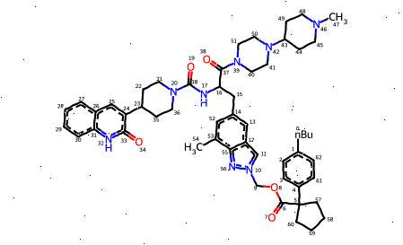 CCCCc1ccc(C2(C(=O)OCn3cc4cc(CC(NC(=O)N5CCC(c6cc7ccccc7[nH]c6=O)CC5)C(=O)N5CCN(C6CCN(C)CC6)CC5)cc(C)c4n3)CCCC2)cc1